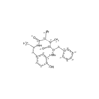 CC(Cc1ccc(O)c(C(C)(C)C)c1)NC(=O)C(C(C)C)N(C)C(=O)OCc1ccccc1